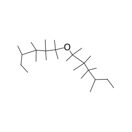 CCC(C)C(C)(C)C(C)(C)C(C)(C)OC(C)(C)C(C)(C)C(C)(C)C(C)CC